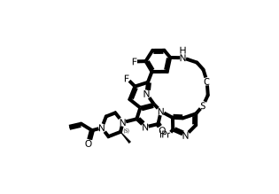 C=CC(=O)N1CCN(c2nc(=O)n3c4nc(c(F)cc24)-c2cc(ccc2F)NCCCCSc2cnc(C(C)C)c-3c2)[C@@H](C)C1